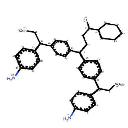 CCCCCCCCCCCC(c1ccc(N)cc1)c1ccc(C(CCC(CC)C2CCCCC2)c2ccc(C(CCCCCCCCCCC)c3ccc(N)cc3)cc2)cc1